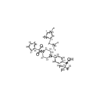 CN(Cc1cn(C)cn1)C[C@H]1CN(S(=O)(=O)c2cccs2)CCN1c1ccc([C@@](C)(O)C(F)(F)F)cc1